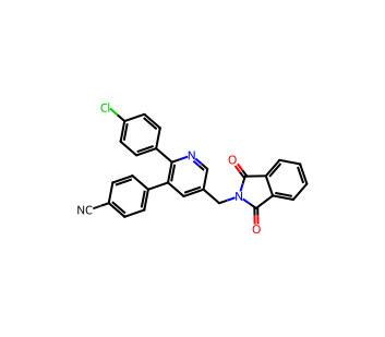 N#Cc1ccc(-c2cc(CN3C(=O)c4ccccc4C3=O)cnc2-c2ccc(Cl)cc2)cc1